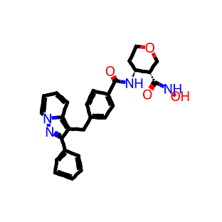 O=C(N[C@@H]1CCOC[C@@H]1C(=O)NO)c1ccc(Cc2c(-c3ccccc3)nn3ccccc23)cc1